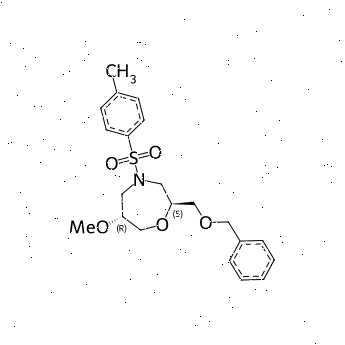 CO[C@H]1CO[C@H](COCc2ccccc2)CN(S(=O)(=O)c2ccc(C)cc2)C1